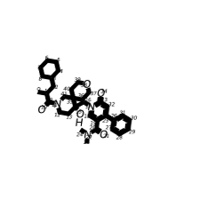 CC(CC1CCCCC1)C(=O)N1CCC(O)(Cn2cc(C(=O)N(C)C)c(-c3ccccc3)cc2=O)C2(CCOCC2)C1